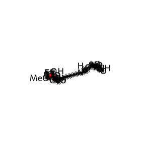 CCOc1cc(C(CS(C)(=O)=O)N2C(=O)c3cccc(NC(=O)CCCCCCCCCCNCc4ccc(OCc5scc6c5CN(C5CCC(=O)NC5=O)C6=O)cc4)c3C2=O)ccc1OC